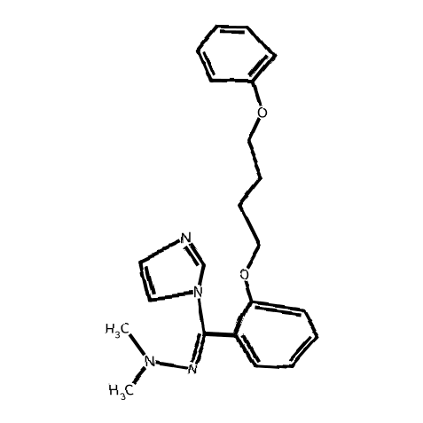 CN(C)N=C(c1ccccc1OCCCCOc1ccccc1)n1ccnc1